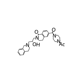 CC(=O)N1CCN(C(=O)c2ccc3c(c2)CCN(CC(O)CN2CCc4ccccc4C2)C3=O)CC1